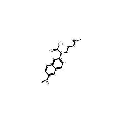 CNCCC[C@H](C(=O)O)c1ccc2cc(OC)ccc2c1